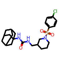 O=C(NCC1CCCN(S(=O)(=O)c2ccc(Cl)cc2)C1)NC12CC3CC(CC(C3)C1)C2